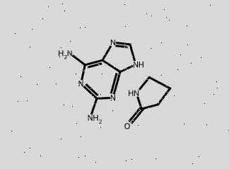 Nc1nc(N)c2nc[nH]c2n1.O=C1CCCN1